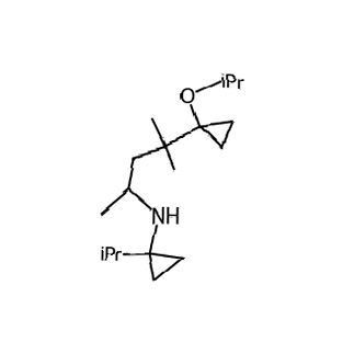 CC(CC(C)(C)C1(OC(C)C)CC1)NC1(C(C)C)CC1